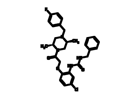 C[C@@H]1CN(Cc2ccc(F)cc2)[C@@H](C)CN1C(=O)COc1ccc(Cl)cc1NC(=O)NCc1ccccc1